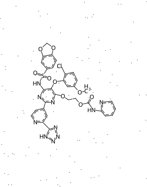 COc1ccc(Cl)c(Oc2c(NS(=O)(=O)c3ccc4c(c3)OCO4)nc(-c3ccnc(-c4nnn[nH]4)c3)nc2OCCOC(=O)Nc2ccccn2)c1